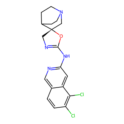 Clc1ccc2cnc(NC3=NC[C@@]4(CN5CCC4CC5)O3)cc2c1Cl